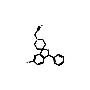 C#CCN1CCC2(CC1)OC(c1ccccc1)c1ccc(C(C)C)cc12